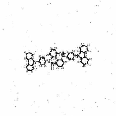 c1ccc2c(c1)c1ccccc1n2-c1ccc(-p2[nH]c3cccc4c3-c3c(cccc32)[nH]p4-c2ccc(-n3c4ccccc4c4ccccc43)cc2)cc1